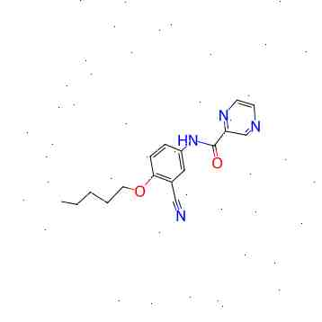 CCCCCOc1ccc(NC(=O)c2cnccn2)cc1C#N